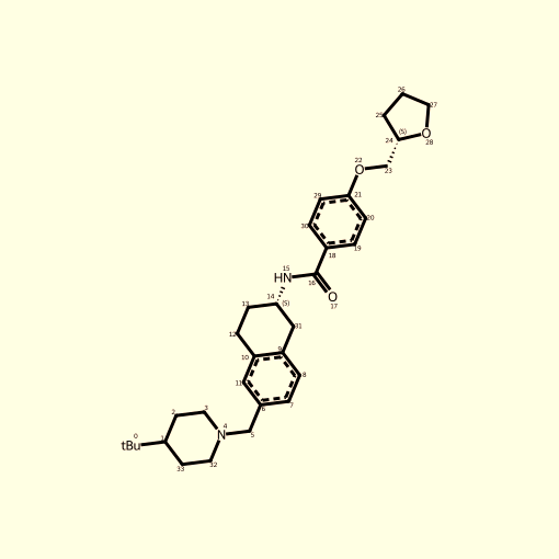 CC(C)(C)C1CCN(Cc2ccc3c(c2)CC[C@H](NC(=O)c2ccc(OC[C@@H]4CCCO4)cc2)C3)CC1